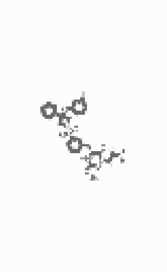 C[C@H](OC(=O)[C@H](Cc1cccc(S(=O)(=O)N2CC(Oc3cccc(F)c3)(c3ccccc3)C2)c1)NC(=O)OC(C)(C)C)C(=O)N(C)C